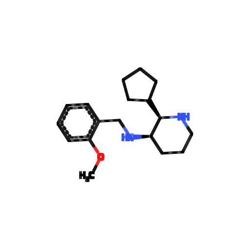 COc1ccccc1CN[C@@H]1CCCN[C@@H]1C1CCCC1